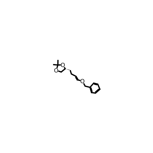 CC1(C)OC[C@@H](CCC=COCc2ccccc2)O1